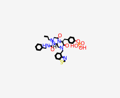 C=CCN1CC(=O)N2[C@@H](Cc3ccc(OP(=O)(O)O)cc3)C(=O)N(Cc3cccc4scnc34)C[C@@H]2N1C(=O)NCc1ccccc1